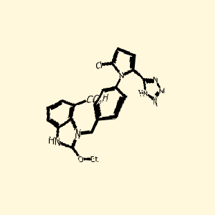 CCOC1Nc2cccc(C(=O)O)c2N1Cc1ccc(-n2c(Cl)ccc2-c2nnn[nH]2)cc1